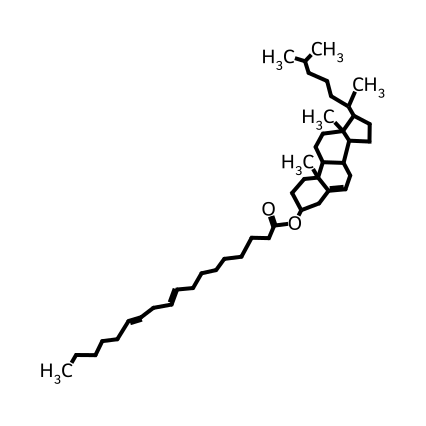 CCCCCC=CCC=CCCCCCCCC(=O)OC1CCC2(C)C(=CCC3C2CCC2(C)C(C(C)CCCC(C)C)CCC32)C1